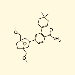 COCC12CCC(COC)(CC(c3ccc(C(N)=O)c(C4=CCC(C)(C)CC4)c3)C1)O2